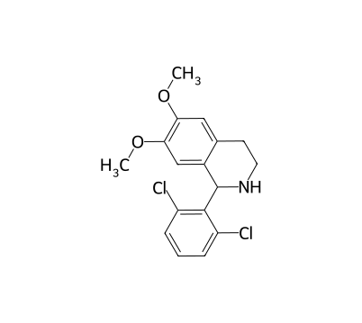 COc1cc2c(cc1OC)C(c1c(Cl)cccc1Cl)NCC2